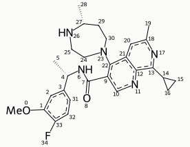 COc1cc([C@H](C)NC(=O)c2cnc3c(C4CC4)nc(C)cc3c2N2CCN[C@H](C)CC2)ccc1F